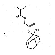 CCCCC1(OC(=O)COC(=O)C(F)F)C2CC3CC(C2)CC1C3